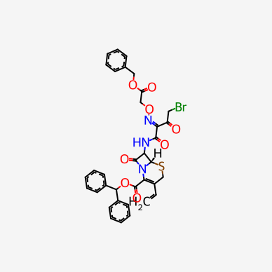 C=CC1=C(C(=O)OC(c2ccccc2)c2ccccc2)N2C(=O)C(NC(=O)C(=NOCC(=O)OCc3ccccc3)C(=O)CBr)[C@@H]2SC1